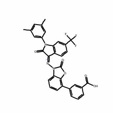 Cc1cc(C)cc(N2C(=O)/C(=N/n3c(=O)oc4c(-c5cccc(C(=O)O)c5)cccc43)c3ccc(C(F)(F)F)cc32)c1